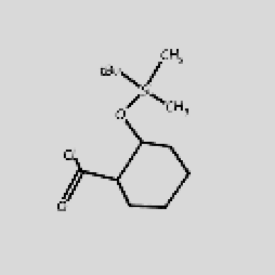 CC(C)(C)[Si](C)(C)OC1CCCCC1C(=O)Cl